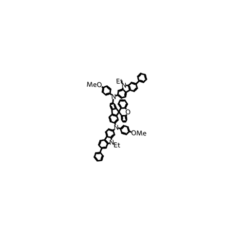 CCn1c2cc(-c3ccccc3)ccc2c2ccc(N(c3ccc(OC)cc3)c3ccc4c(c3)C3(c5ccccc5Oc5ccccc53)c3cc(N(c5ccc(OC)cc5)c5ccc6c7ccc(-c8ccccc8)cc7n(CC)c6c5)ccc3-4)cc21